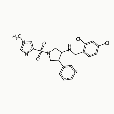 Cn1cnc(S(=O)(=O)N2CC(NCc3ccc(Cl)cc3Cl)C(c3cccnc3)C2)c1